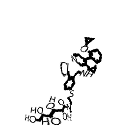 CN(CCSc1ccc(Cl)c(CNC2(c3cnccc3-c3ccccc3OC3CC3)CC2)c1)C(=O)C(O)C(O)C(O)C(O)CO